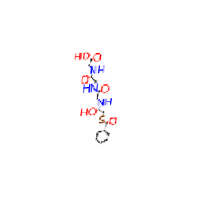 O=C(O)CNC(=O)CNC(=O)CNC(O)CSC(=O)c1ccccc1